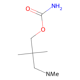 CNCC(C)(C)COC(N)=O